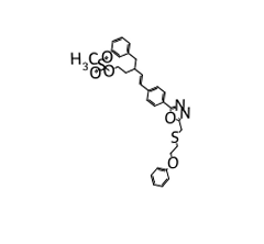 CS(=O)(=O)OCCC(C=Cc1ccc(-c2nnc(CSCCOc3ccccc3)o2)cc1)Cc1ccccc1